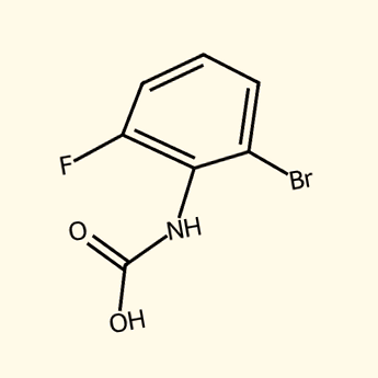 O=C(O)Nc1c(F)cccc1Br